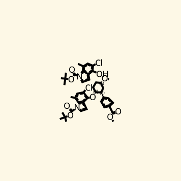 COC(=O)c1ccc([C@@H]2C[C@@H](OC)CC[C@H]2Oc2c(Cl)cc(C)c3c2ccn3C(=O)OC(C)(C)C)cc1.Cc1cc(Cl)c(O)c2ccn(C(=O)OC(C)(C)C)c12